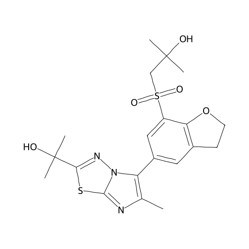 Cc1nc2sc(C(C)(C)O)nn2c1-c1cc2c(c(S(=O)(=O)CC(C)(C)O)c1)OCC2